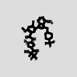 COc1cc(F)c(-c2cc(CN3CCC(C(F)(F)F)CC3)c3c(N)ncnn23)cc1C(=O)N[C@@H]1CN(C(=O)[C@@](C)(O)C(F)(F)F)C[C@@H]1F